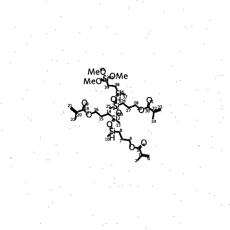 C=C(C)C(=O)OCCC[SiH](C)O[Si](C)(CCCOC(=O)C(=C)C)O[Si](C)(CCCOC(=O)C(=C)C)O[SiH](C)CC[Si](OC)(OC)OC